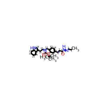 CC/C=N/NC(=O)/C=C/c1ccc(CN(CCc2c[nH]c3ccccc23)C(=O)OC(C)(C)C)cc1